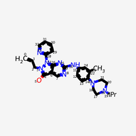 C=CCn1c(=O)c2cnc(Nc3ccc(N4CCN(C(C)C)CC4)c(C)c3)nc2n1-c1ccccn1